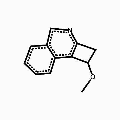 COC1Cc2ncc3ccccc3c21